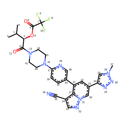 CC(C)[C@@H](OC(=O)C(F)(F)F)C(=O)N1CCN(c2ccc(-c3cc(-c4cn(C)nn4)cn4ncc(C#N)c34)cn2)CC1